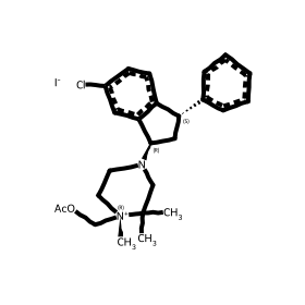 CC(=O)OC[N@+]1(C)CCN([C@@H]2C[C@@H](c3ccccc3)c3ccc(Cl)cc32)CC1(C)C.[I-]